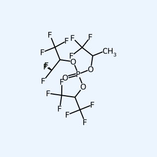 CC(OP(=O)(OC(C(F)(F)F)C(F)(F)F)OC(C(F)(F)F)C(F)(F)F)C(F)(F)F